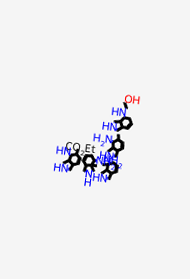 CC1(N)CC=CC2CNCC21.CC12CNCC1C=CCC2N.CC1C=CC2CNCC2C1N.CCOC(=O)NC1C(C)C=CC2CNCC21.OCCNC1CC=CC2CNCC21